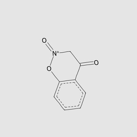 O=C1C[N+](=O)Oc2ccccc21